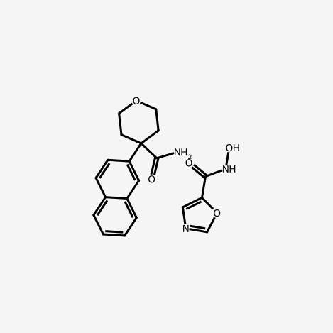 NC(=O)C1(c2ccc3ccccc3c2)CCOCC1.O=C(NO)c1cnco1